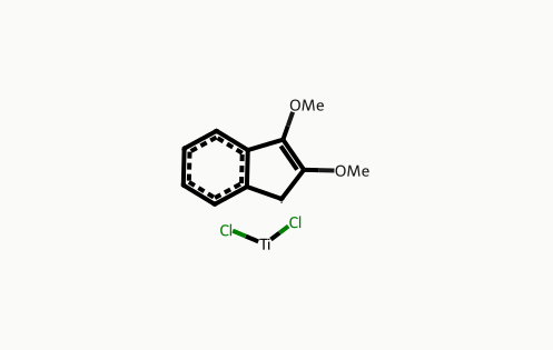 COC1=C(OC)c2ccccc2[CH]1.[Cl][Ti][Cl]